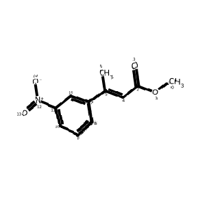 COC(=O)/C=C(\C)c1cccc([N+](=O)[O-])c1